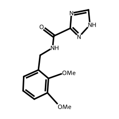 COc1cccc(CNC(=O)c2nc[nH]n2)c1OC